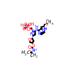 COCc1cc2c(Nc3cc([C@@H]4C[C@H](OC(=O)NC(C)C)CO4)nn3COP(=O)(O)O)nccn2n1